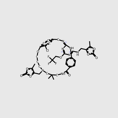 Cc1oc(=O)oc1CN/C=N/C(=N\C1=N/Cc2ccc(c(Cl)c2)OCCCN(Cc2oc(=O)oc2C)CC(C)(C)CNC(=O)c2ccc(cc2)N1)OCC(F)(F)F